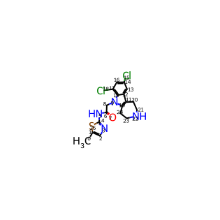 Cc1cnc(NC(=O)Cn2c3c(c4cc(Cl)cc(Cl)c42)CCNCC3)s1